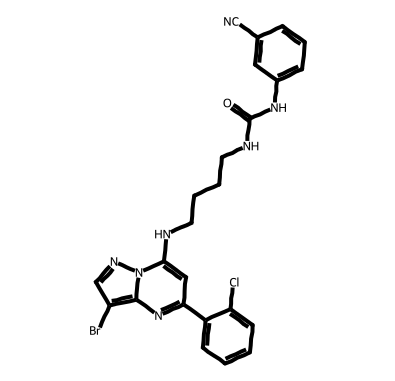 N#Cc1cccc(NC(=O)NCCCCNc2cc(-c3ccccc3Cl)nc3c(Br)cnn23)c1